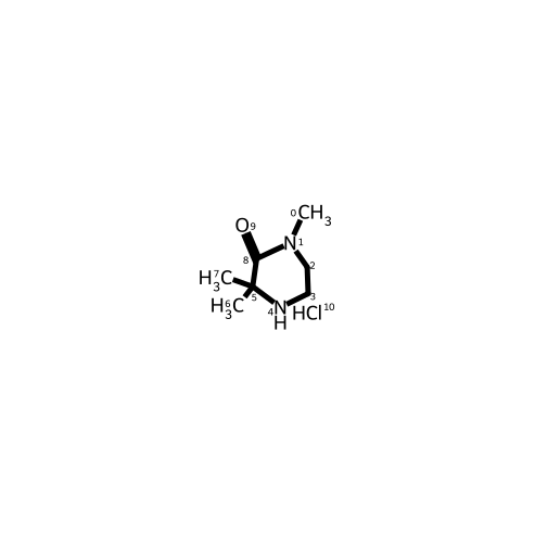 CN1CCNC(C)(C)C1=O.Cl